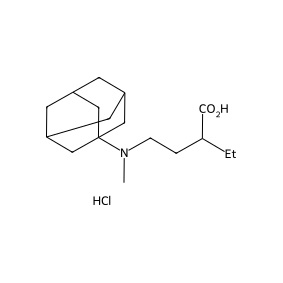 CCC(CCN(C)C12CC3CC(CC(C3)C1)C2)C(=O)O.Cl